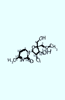 CSC[C@]1(CO)O[C@@H](n2ccc(C)nc2=O)[C@H](Cl)[C@@H]1O